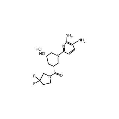 Cl.Cl.Nc1ccc(N2CCC[C@@H](C(=O)N3CCC(F)(F)C3)C2)nc1N